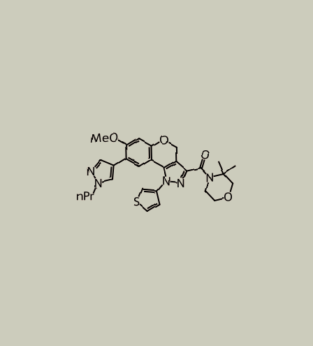 CCCn1cc(-c2cc3c(cc2OC)OCc2c(C(=O)N4CCOCC4(C)C)nn(-c4ccsc4)c2-3)cn1